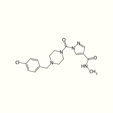 CNC(=O)c1cnn(C(=O)N2CCN(Cc3ccc(Cl)cc3)CC2)c1